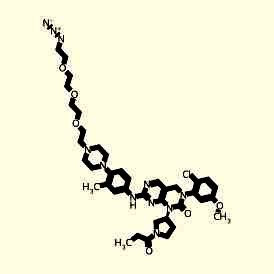 CCC(=O)N1CC[C@H](N2C(=O)N(c3cc(OC)ccc3Cl)Cc3cnc(Nc4ccc(N5CCN(CCOCCOCCOCCN=[N+]=[N-])CC5)c(C)c4)nc32)C1